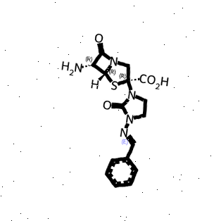 N[C@@H]1C(=O)N2C[C@@](C(=O)O)(N3CCN(/N=C/c4ccccc4)C3=O)S[C@H]12